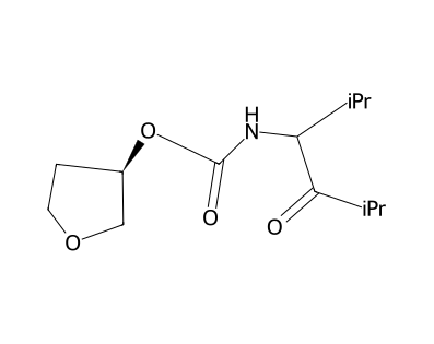 CC(C)C(=O)C(NC(=O)O[C@@H]1CCOC1)C(C)C